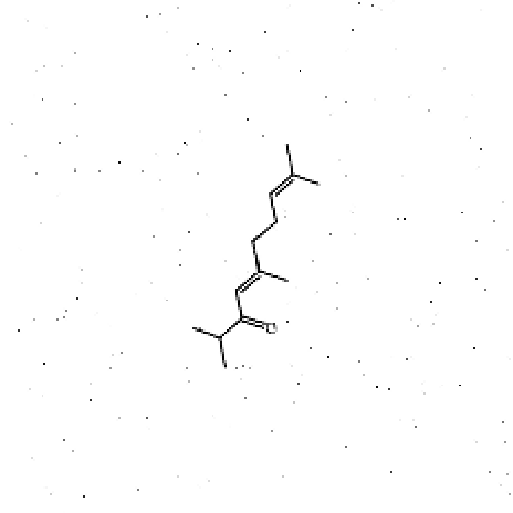 CC(C)=CCC/C(C)=C/C(=O)C(C)C